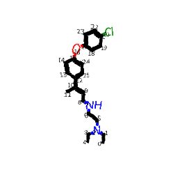 CCN(CC)CCNCC=C(C)c1ccc(Oc2ccc(Cl)cc2)cc1